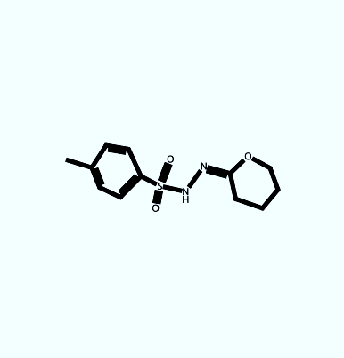 Cc1ccc(S(=O)(=O)NN=C2CCCCO2)cc1